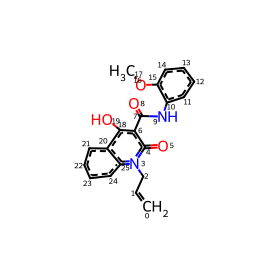 C=CCn1c(=O)c(C(=O)Nc2ccccc2OC)c(O)c2ccccc21